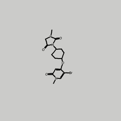 CN1CC(=O)N(C2CCC(Oc3cc(=O)n(C)cc3Br)CC2)C1=O